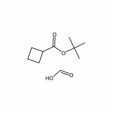 CC(C)(C)OC(=O)C1CCC1.O=CO